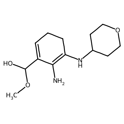 COC(O)C1=CCCC(NC2CCOCC2)=C1N